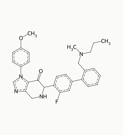 CCCN(C)Cc1ccccc1-c1ccc(C2NCc3ncn(-c4ccc(OC)cc4)c3C2=O)c(F)c1